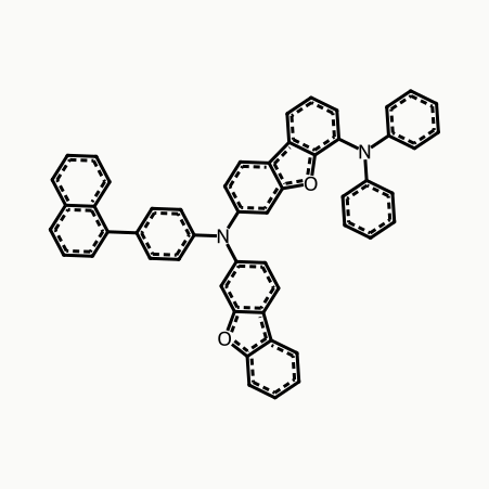 c1ccc(N(c2ccccc2)c2cccc3c2oc2cc(N(c4ccc(-c5cccc6ccccc56)cc4)c4ccc5c(c4)oc4ccccc45)ccc23)cc1